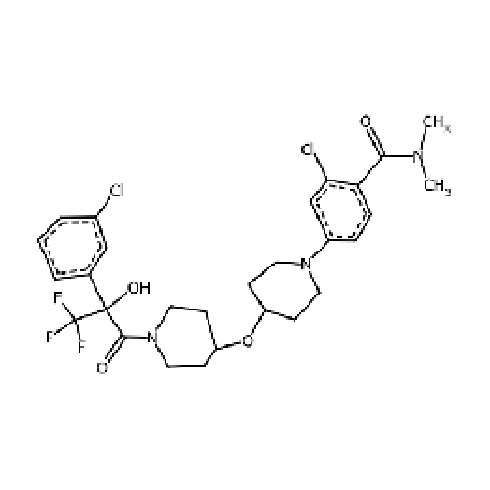 CN(C)C(=O)c1ccc(N2CCC(OC3CCN(C(=O)C(O)(c4cccc(Cl)c4)C(F)(F)F)CC3)CC2)cc1Cl